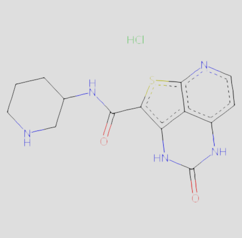 Cl.O=C1Nc2ccnc3sc(C(=O)NC4CCCNC4)c(c23)N1